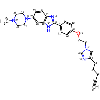 C#CCCCc1cn(CCOc2ccc(-c3nc4ccc(N5CCN(C)CC5)cc4[nH]3)cc2)cn1